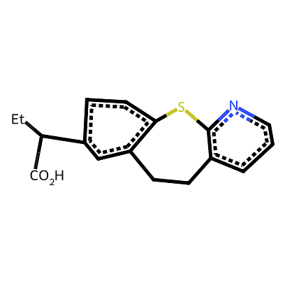 CCC(C(=O)O)c1ccc2c(c1)CCc1cccnc1S2